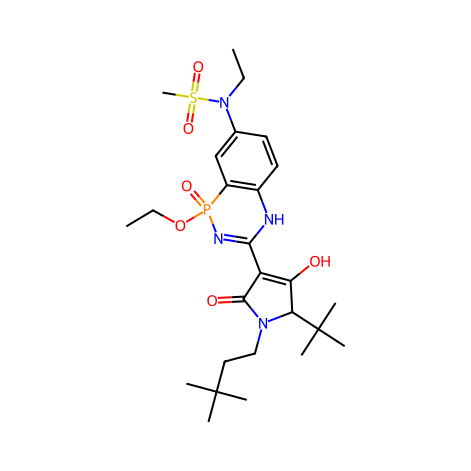 CCOP1(=O)N=C(C2=C(O)C(C(C)(C)C)N(CCC(C)(C)C)C2=O)Nc2ccc(N(CC)S(C)(=O)=O)cc21